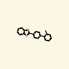 Cc1ccccc1-c1ccc(-c2nc3ccccc3s2)cc1